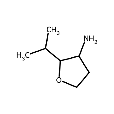 CC(C)C1OCCC1N